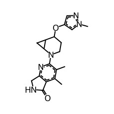 Cc1c(N2CCC(Oc3cnn(C)c3)C3CC32)nc2c(c1C)C(=O)NC2